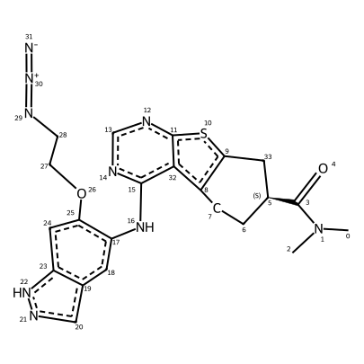 CN(C)C(=O)[C@H]1CCc2c(sc3ncnc(Nc4cc5cn[nH]c5cc4OCCN=[N+]=[N-])c23)C1